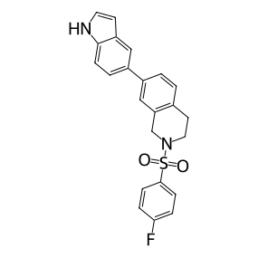 O=S(=O)(c1ccc(F)cc1)N1CCc2ccc(-c3ccc4[nH]ccc4c3)cc2C1